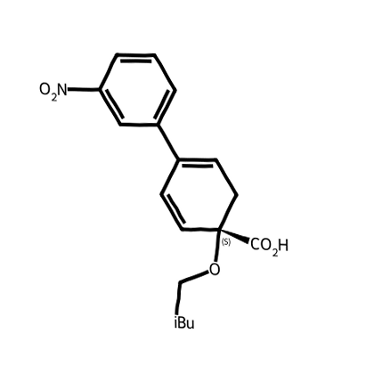 CCC(C)CO[C@]1(C(=O)O)C=CC(c2cccc([N+](=O)[O-])c2)=CC1